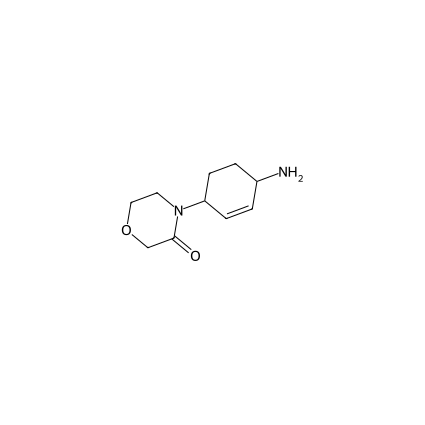 NC1C=CC(N2CCOCC2=O)CC1